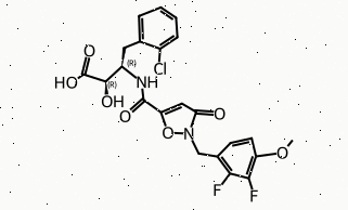 COc1ccc(Cn2oc(C(=O)N[C@H](Cc3ccccc3Cl)[C@@H](O)C(=O)O)cc2=O)c(F)c1F